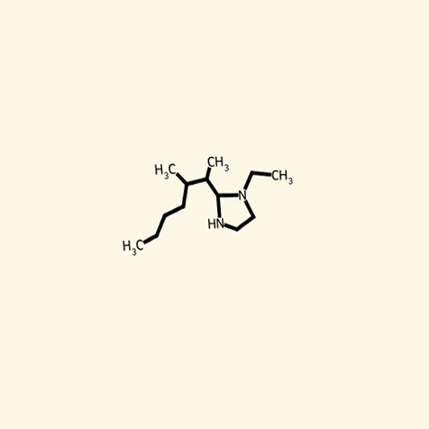 CCCCC(C)C(C)C1NCCN1CC